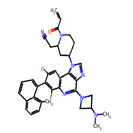 C=CC(=O)N1CCC(n2cnc3c(N4CC(N(C)C)C4)nc4c(F)c(-c5cccc6cccc(C)c56)c(Cl)cc4c32)CC1CC#N